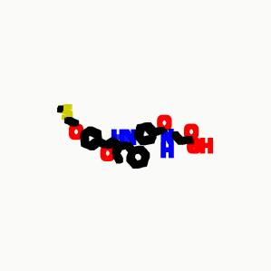 CSCCOc1ccc(-c2cc(C(Nc3ccc(C(=O)NCCC(=O)O)cc3)C3CCCCC3)c(C)o2)cc1